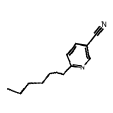 CCCCCCc1ccc(C#N)cn1